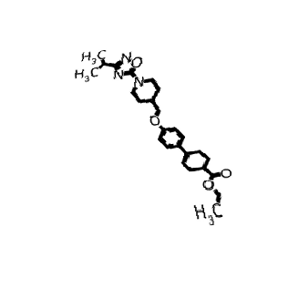 CCOC(=O)C1CC=C(c2ccc(OCC3CCN(c4nc(C(C)C)no4)CC3)cc2)CC1